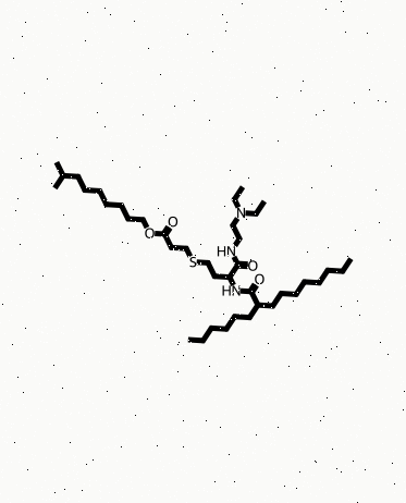 CCCCCCCCC(CCCCCC)C(=O)NC(CCSCCC(=O)OCCCCCCCC(C)C)C(=O)NCCN(CC)CC